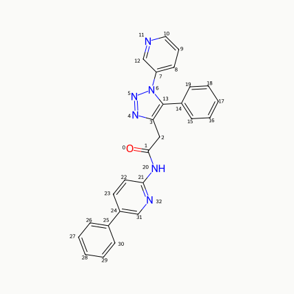 O=C(Cc1nnn(-c2cccnc2)c1-c1ccccc1)Nc1ccc(-c2ccccc2)cn1